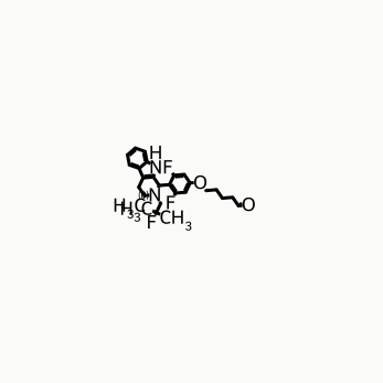 C[C@@H]1Cc2c([nH]c3ccccc23)C(c2c(F)cc(OCCCCC=O)cc2F)N1CC(C)(C)F